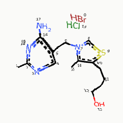 Br.Cc1ncc(C[n+]2csc(CCO)c2C)c(N)n1.Cl